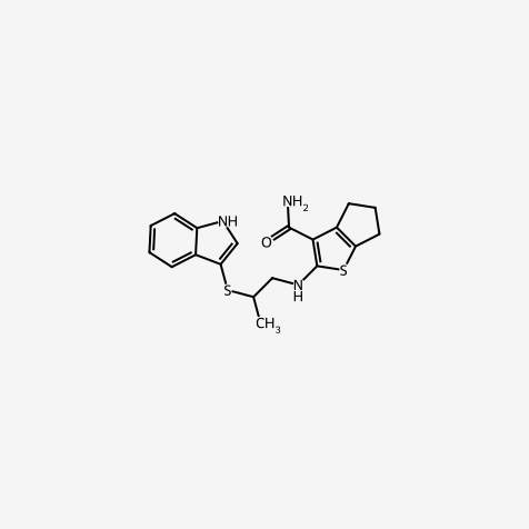 CC(CNc1sc2c(c1C(N)=O)CCC2)Sc1c[nH]c2ccccc12